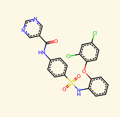 O=C(Nc1ccc(S(=O)(=O)Nc2ccccc2Oc2ccc(Cl)cc2Cl)cc1)c1cncnc1